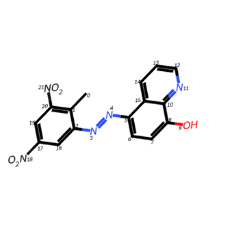 Cc1c(N=Nc2ccc(O)c3ncccc23)cc([N+](=O)[O-])cc1[N+](=O)[O-]